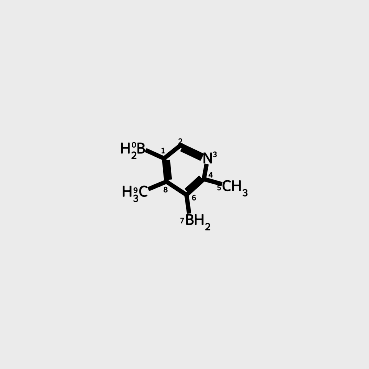 Bc1cnc(C)c(B)c1C